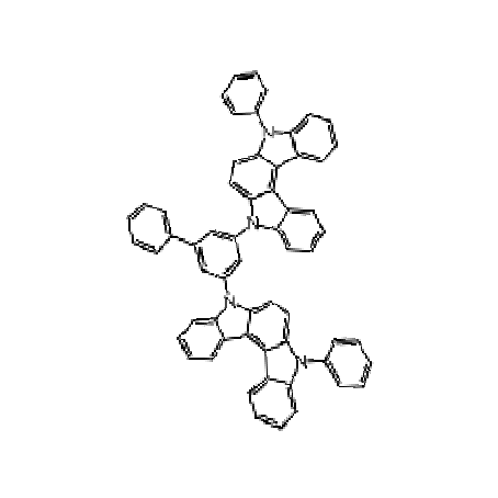 c1ccc(-c2cc(-n3c4ccccc4c4c5c6ccccc6n(-c6ccccc6)c5ccc43)cc(-n3c4ccccc4c4c5c6ccccc6n(-c6ccccc6)c5ccc43)c2)cc1